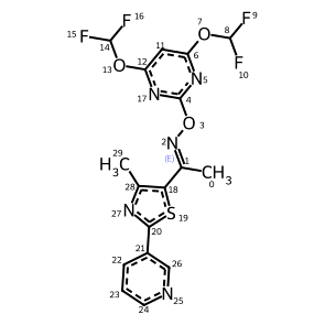 C/C(=N\Oc1nc(OC(F)F)cc(OC(F)F)n1)c1sc(-c2cccnc2)nc1C